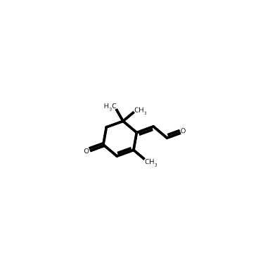 CC1=CC(=O)CC(C)(C)C1=CC=O